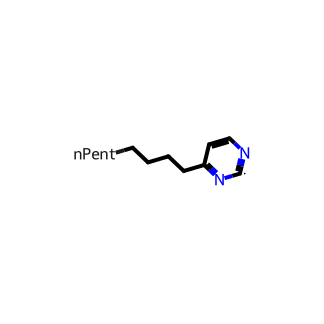 CCCCCCCCCc1ccn[c]n1